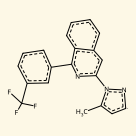 Cc1c[c]nn1-c1cc2ccccc2c(-c2cccc(C(F)(F)F)c2)n1